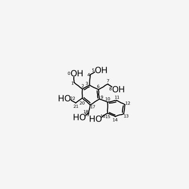 OCc1c(CO)c(CO)c(-c2ccccc2O)c(CO)c1CO